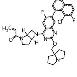 C=CC(=O)N1CC[C@H]2[C@H]1CN2c1nc(OCC23CCCN2CCC3)nc2cc(-c3cccc4ccc(F)c(Cl)c34)c(F)cc12